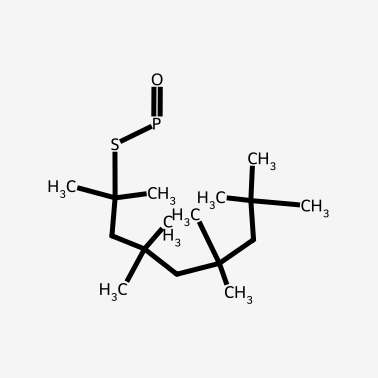 CC(C)(C)CC(C)(C)CC(C)(C)CC(C)(C)SP=O